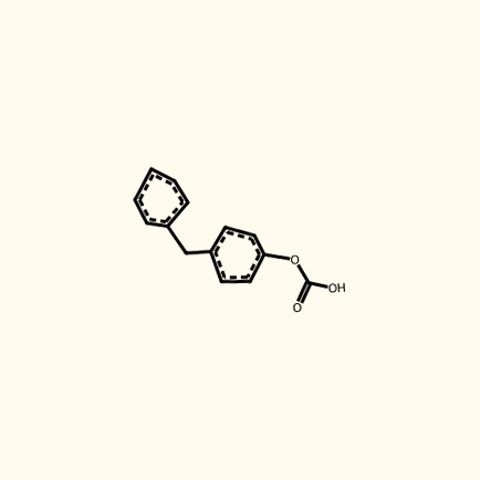 O=C(O)Oc1ccc(Cc2ccccc2)cc1